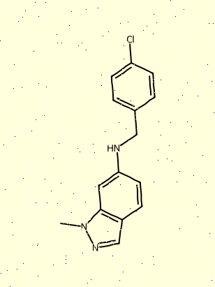 Cn1ncc2ccc(NCc3ccc(Cl)cc3)cc21